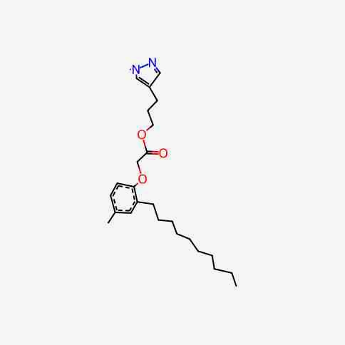 CCCCCCCCCCc1cc(C)ccc1OCC(=O)OCCCC1=C[N]N=C1